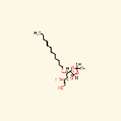 CCCCCCCCCCCCO[C@H]1[C@H]2OC(C)(C)O[C@H]2O[C@@H]1[C@H](O)CO